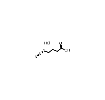 Cl.[N-]=[N+]=NCCCC(=O)O